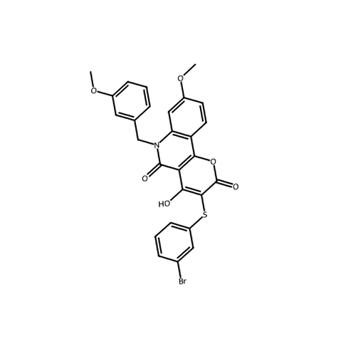 COc1cccc(Cn2c(=O)c3c(O)c(Sc4cccc(Br)c4)c(=O)oc3c3ccc(OC)cc32)c1